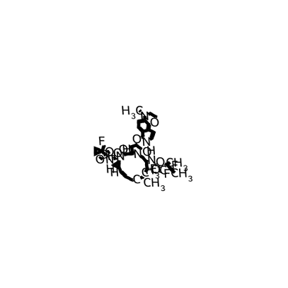 CC[C@@H]1C[C@H](C)CC/C=C\[C@@H]2C[C@@]2(C(=O)NS(=O)(=O)C2(CF)CC2)NC(=O)[C@@H]2C[C@@H](Oc3nccc4c5c(ccc34)N(C)CCO5)CN2C(=O)[C@H]1NC(=O)OC(C)(C)C(C)(F)F